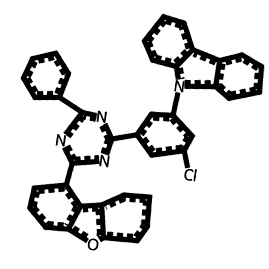 Clc1cc(-c2nc(-c3ccccc3)nc(-c3cccc4oc5ccccc5c34)n2)cc(-n2c3ccccc3c3ccccc32)c1